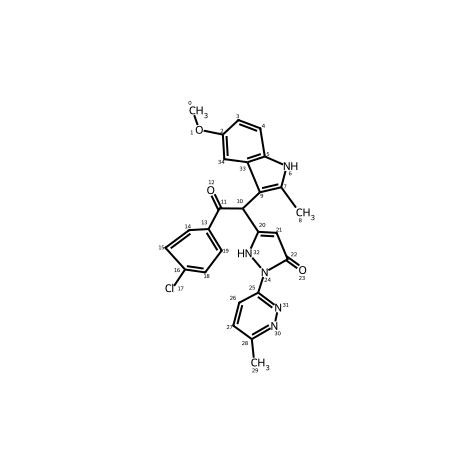 COc1ccc2[nH]c(C)c(C(C(=O)c3ccc(Cl)cc3)c3cc(=O)n(-c4ccc(C)nn4)[nH]3)c2c1